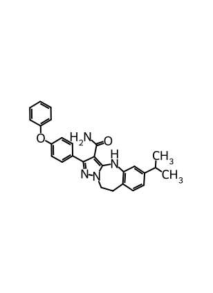 CC(C)c1ccc2c(c1)Nc1c(C(N)=O)c(-c3ccc(Oc4ccccc4)cc3)nn1CC2